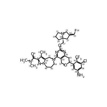 Cc1c(C(=O)N(C)C)nn2c1CN(c1nc(OC[C@@]34CCCN3C/C(=C\F)C4)nc3c1COC(c1cc(N)cc(Cl)c1C(F)(F)F)C3)CCC2